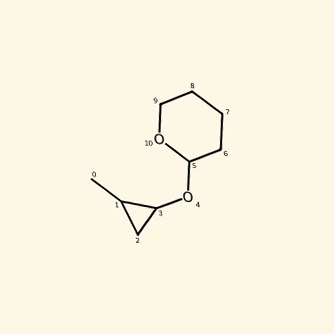 CC1CC1OC1CCCCO1